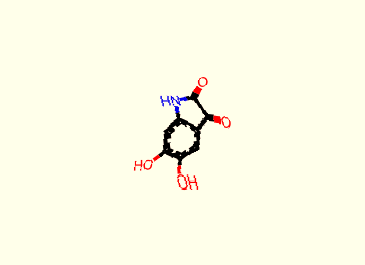 O=C1Nc2cc(O)c(O)cc2C1=O